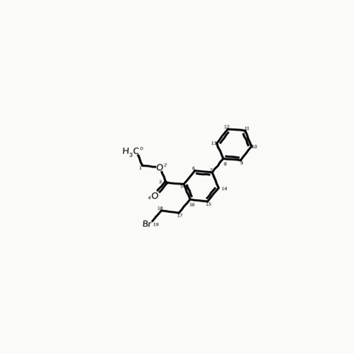 CCOC(=O)c1cc(-c2ccccc2)ccc1CCBr